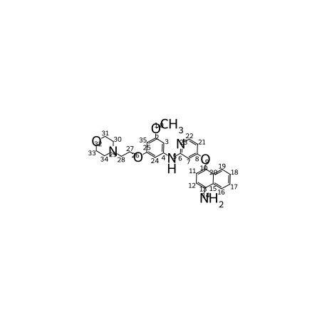 COc1cc(Nc2cc(Oc3ccc(N)c4ccccc34)ccn2)cc(OCCN2CCOCC2)c1